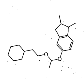 CC(OCCC1CCCCC1)Oc1ccc2c(c1)CC(C)C2C